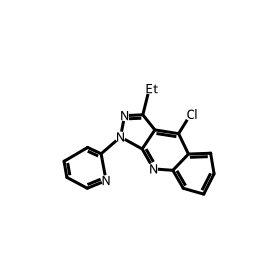 CCc1nn(-c2ccccn2)c2nc3ccccc3c(Cl)c12